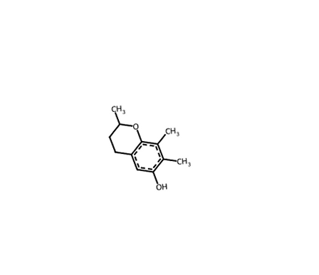 Cc1c(O)cc2c(c1C)OC(C)CC2